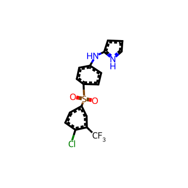 O=S(=O)(c1ccc(Nc2ccc[nH]2)cc1)c1ccc(Cl)c(C(F)(F)F)c1